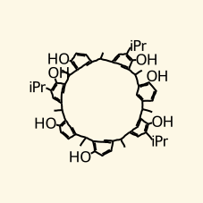 CC(C)c1cc2cc(c1O)C(C)c1ccc(O)c(c1)C(C)c1cc(cc(C(C)C)c1O)C(C)c1ccc(O)c(c1)C(C)c1cc(cc(C(C)C)c1O)C(C)c1cc(ccc1O)C(C)c1cc(ccc1O)C2C